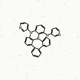 c1cncc(N2c3cccc4c3B3c5c(cccc5N(c5cccnc5)c5cccc2c53)-c2ccccc2-4)c1